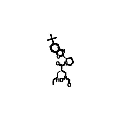 CCCC[C@@H](CN(O)C=O)C(=O)N1CCC[C@H]1c1nc2cc(C(C)(C)C)ccc2o1